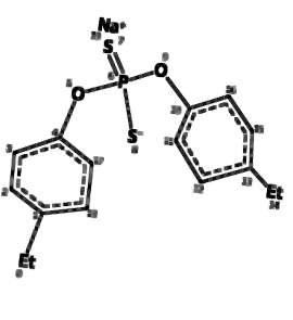 CCc1ccc(OP(=S)([S-])Oc2ccc(CC)cc2)cc1.[Na+]